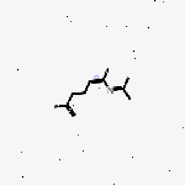 C=C(C)CC/C=C(/C)N=C(C)C